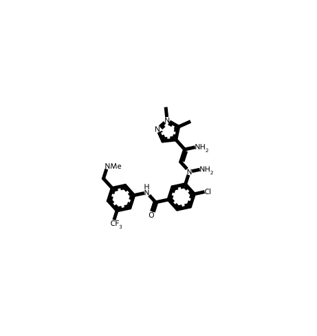 CNCc1cc(NC(=O)c2ccc(Cl)c(N(N)/C=C(\N)c3cnn(C)c3C)c2)cc(C(F)(F)F)c1